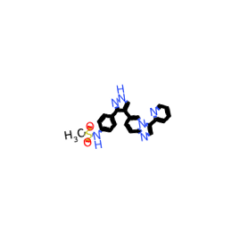 CS(=O)(=O)Nc1ccc(-c2n[nH]cc2-c2ccc3ncc(-c4ccccn4)n3c2)cc1